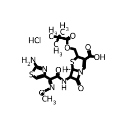 CON=C(C(=O)NC1C(=O)N2C=C(C(=O)O)C(COC(=O)C(C)(C)C)S[C@H]12)c1csc(N)n1.Cl